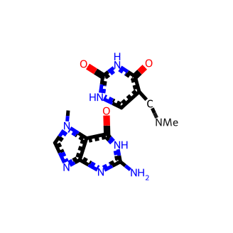 CNCc1c[nH]c(=O)[nH]c1=O.Cn1cnc2nc(N)[nH]c(=O)c21